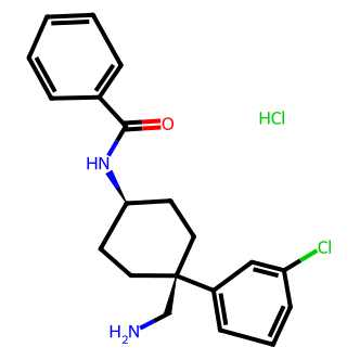 Cl.NC[C@]1(c2cccc(Cl)c2)CC[C@H](NC(=O)c2ccccc2)CC1